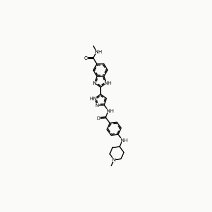 CNC(=O)c1ccc2[nH]c(-c3cc(NC(=O)c4ccc(NC5CCN(C)CC5)cc4)n[nH]3)nc2c1